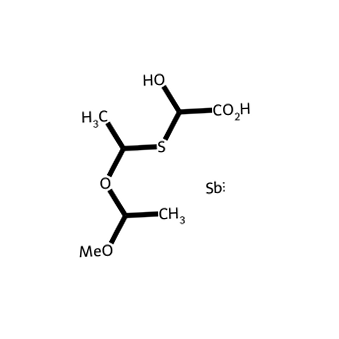 COC(C)OC(C)SC(O)C(=O)O.[Sb]